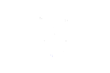 CC(C)(C)C(C#N)c1ccncc1